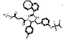 COC(=O)CCC(=O)OC(c1ccc(F)cc1)C(Cc1cccc(OC(F)(F)C(F)F)c1)NC(=O)c1cccc2c1C=CCCC2